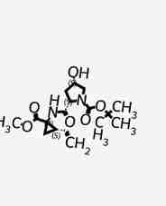 C=C[C@@H]1C[C@]1(NC(=O)[C@@H]1C[C@H](O)CN1C(=O)OC(C)(C)C)C(=O)OC